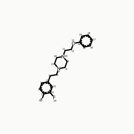 Fc1ccc(CCN2CCN(CCOc3ccccc3)CC2)cc1F